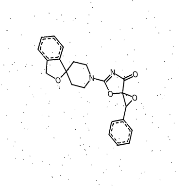 O=C1N=C(N2CCC3(CC2)OCc2ccccc23)OC12OC2c1ccccc1